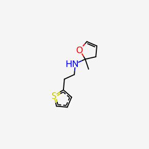 CC1(NCCc2cccs2)CC=CO1